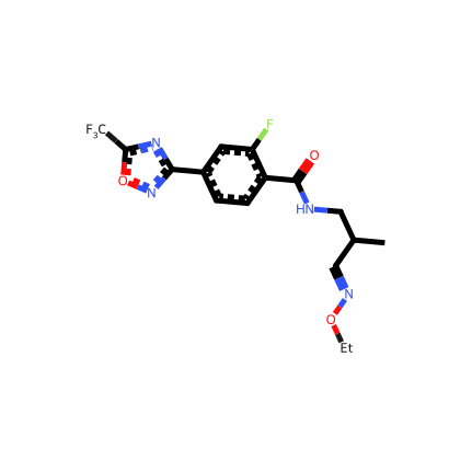 CCON=CC(C)CNC(=O)c1ccc(-c2noc(C(F)(F)F)n2)cc1F